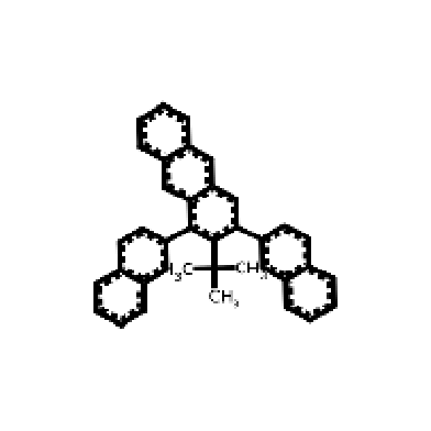 CC(C)(C)c1c(-c2ccc3ccccc3c2)cc2cc3ccccc3cc2c1-c1ccc2ccccc2c1